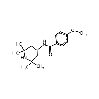 COc1ccc(C(=O)NC2CC(C)(C)NC(C)(C)C2)cc1